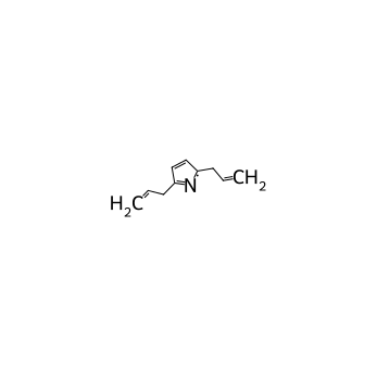 C=CC[C]1C=CC(CC=C)=N1